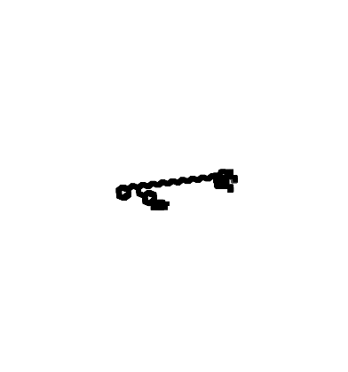 Br.CN(C)CCCCCCCCCCCCCCCC(Cc1ccccc1)Cc1ccccc1